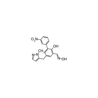 Cn1nccc1Cc1cc(C=NO)c(O)c(-c2cccc([N+](=O)[O-])c2)c1